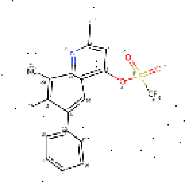 Cc1cc(OS(=O)(=O)C(F)(F)F)c2cc(-c3ccccc3)c(C)c(C#N)c2n1